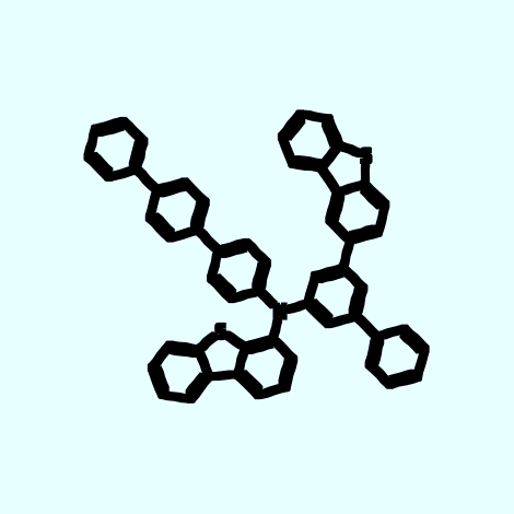 c1ccc(-c2ccc(-c3ccc(N(c4cc(-c5ccccc5)cc(-c5ccc6sc7ccccc7c6c5)c4)c4cccc5c4sc4ccccc45)cc3)cc2)cc1